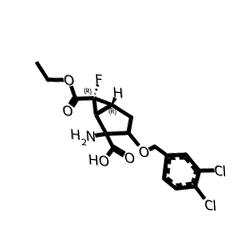 CCOC(=O)[C@]1(F)C2[C@H]1CC(OCc1ccc(Cl)c(Cl)c1)C2(N)C(=O)O